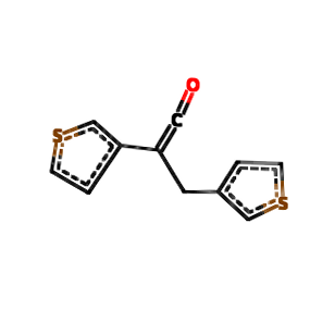 O=C=C(Cc1ccsc1)c1ccsc1